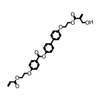 C=CC(=O)OCCOc1ccc(C(=O)Oc2ccc(-c3ccc(OCCOC(=O)C(=C)CO)cc3)cc2)cc1